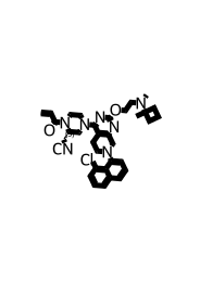 C=CC(=O)N1CCN(c2nc(OCCN(C)C3(C)CCC3)nc3c2CCN(c2cccc4cccc(Cl)c24)C3)C[C@@H]1CC#N